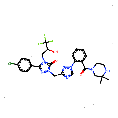 CC1(C)CN(C(=O)c2ccccc2-n2cnc(Cn3nc(-c4ccc(Cl)cc4)n(CC(O)C(F)(F)F)c3=O)n2)CCN1